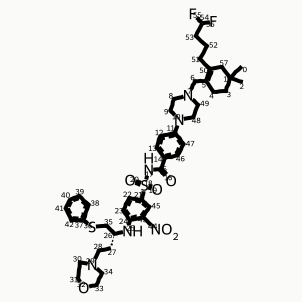 CC1(C)CCC(CN2CCN(c3ccc(C(=O)NS(=O)(=O)c4ccc(N[C@H](CCN5CCOCC5)CSc5ccccc5)c([N+](=O)[O-])c4)cc3)CC2)=C(CCCC(F)F)C1